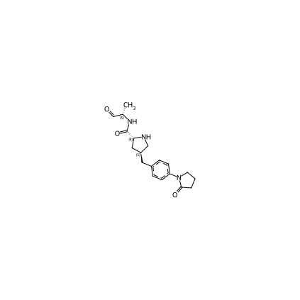 C[C@@H](C=O)NC(=O)[C@H]1C[C@H](Cc2ccc(N3CCCC3=O)cc2)CN1